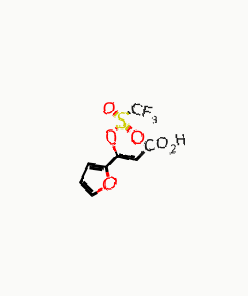 O=C(O)/C=C(\OS(=O)(=O)C(F)(F)F)c1ccco1